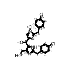 Cn1cc(C(O)c2[nH]c(Cc3ccc(Cl)cc3)nc2CO)nc1Cc1ccc(Cl)cc1